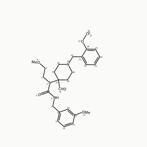 COCCN(C(=O)NCc1cccc(OC)c1)C1(C=O)CCN(Cc2ccccc2OC(F)(F)F)CC1